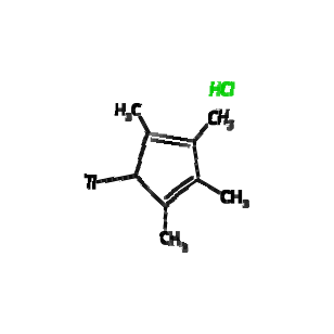 CC1=C(C)[CH]([Ti])C(C)=C1C.Cl